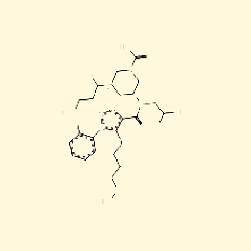 CCCC(O)[C@@H]1C[C@H](N(CC(C)C)C(=O)c2nnn(-c3ccccc3F)c2CCCCOC)CN(C(=O)O)C1